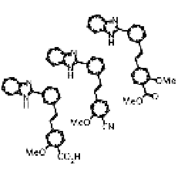 COC(=O)c1ccc(C=Cc2cccc(-c3nc4ccccc4[nH]3)c2)cc1OC.COc1cc(C=Cc2cccc(-c3nc4ccccc4[nH]3)c2)ccc1C#N.COc1cc(C=Cc2cccc(-c3nc4ccccc4[nH]3)c2)ccc1C(=O)O